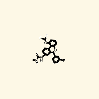 CN(C)C(=S)Nc1ccc2c(c1)C(c1cccc(F)c1)Oc1cccc(OC(F)F)c1-2